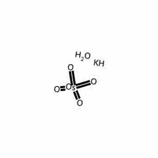 O.[KH].[O]=[Os](=[O])(=[O])=[O]